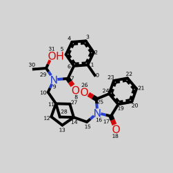 Cc1ccccc1C(=O)N(CC12CCC(CN3C(=O)c4ccccc4C3=O)(C1)C2)C(C)O